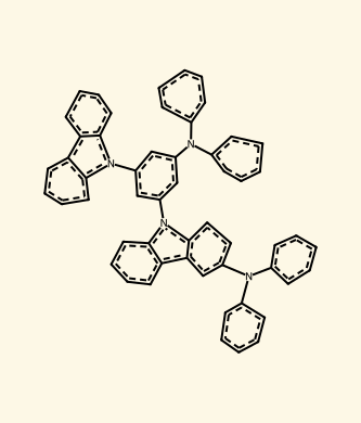 c1ccc(N(c2ccccc2)c2cc(-n3c4ccccc4c4ccccc43)cc(-n3c4ccccc4c4cc(N(c5ccccc5)c5ccccc5)ccc43)c2)cc1